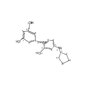 CNc1cc(O)cc(O)c1.Oc1cccc(NC2CCCC2)c1